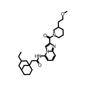 CCC1CC2CCCC(CC(=O)Nc3cccc4nc(C(=O)N5CCCC(CCOC)C5)cn34)(C1)C2